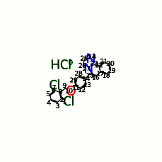 Cl.Clc1cccc(Cl)c1COc1ccc(C2=Cc3ccccc3C3=NCCN23)cc1